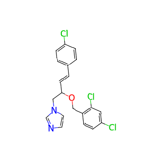 Clc1ccc(C=CC(Cn2ccnc2)OCc2ccc(Cl)cc2Cl)cc1